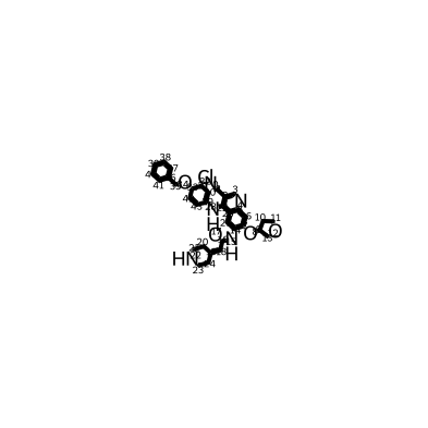 N#Cc1cnc2cc(OC3CCOC3)c(NC(=O)C=C3CCNCC3)cc2c1NC1=CC(Cl)C(OCc2ccccc2)C=C1